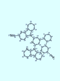 N#Cc1cccc(-c2ccccc2-c2cc(-n3c4ccccc4c4cc(C#N)ccc43)nc(-n3c4ccccc4c4cccnc43)c2)c1